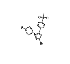 CS(=O)(=O)c1ccc(-c2cc(Br)nn2-c2ccc(F)cc2)cc1